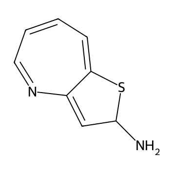 NC1C=C2N=CC=CC=C2S1